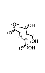 CC(O)CCO.O=C(O)COCC(=O)O